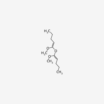 CCC/C=C(\OC)O/C(=C/CCC)OC